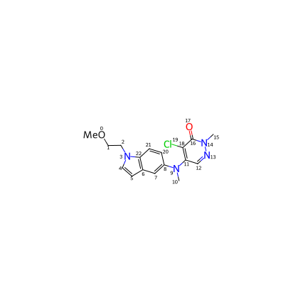 COCCn1ccc2cc(N(C)c3cnn(C)c(=O)c3Cl)ccc21